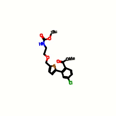 COC(=O)c1ccc(Cl)cc1-c1ccc(COCCNC(=O)OC(C)(C)C)s1